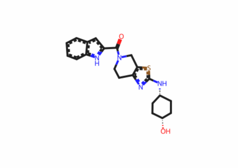 O=C(c1cc2ccccc2[nH]1)N1CCc2nc(N[C@H]3CC[C@@H](O)CC3)sc2C1